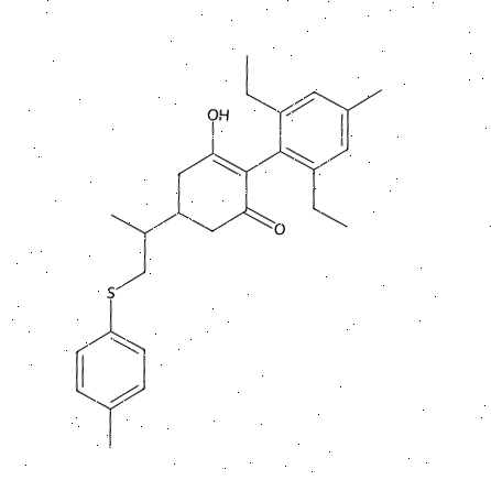 CCc1cc(C)cc(CC)c1C1=C(O)CC(C(C)CSc2ccc(C)cc2)CC1=O